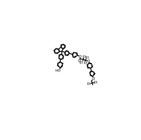 CCC(C)(CC)COc1ccc(-c2ccc(OC(CC)(CC)C(CC)(CC)C(=O)Oc3ccc(-c4ccc(C5(c6ccc(-c7ccc(O)cc7)cc6)c6ccccc6-c6ccccc65)cc4)cc3)cc2)cc1